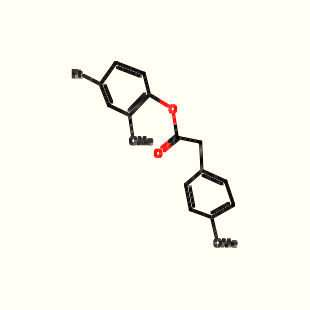 CCc1ccc(OC(=O)Cc2ccc(OC)cc2)c(OC)c1